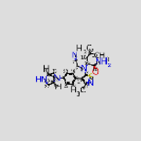 Cc1nsc(N(CC#N)[C@@H](CC(C)C)C(N)=O)c1-c1ccc(N2C[C@@H]3C[C@H]2CN3)cc1